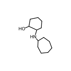 OC1CCCCC1NC1CCCCCC1